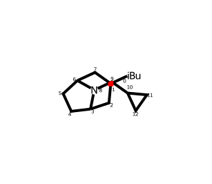 CCC(C)C1CC2CCC(C1)N2CC1CC1